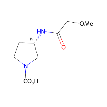 COCC(=O)N[C@H]1CCN(C(=O)O)C1